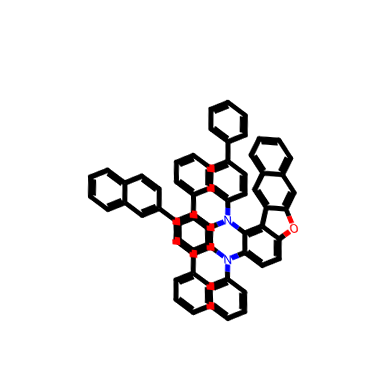 c1ccc(-c2ccc(N(c3ccccc3-c3ccccc3)c3c(N(c4ccccc4)c4ccc(-c5ccc6ccccc6c5)cc4-c4ccccc4)ccc4oc5cc6ccccc6cc5c34)cc2)cc1